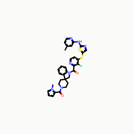 Cc1ccnc(Nc2ncc(Sc3ccnc(C(=O)NCC4(c5ccccc5)CCN(C(=O)c5cccn5C)CC4)c3F)s2)c1